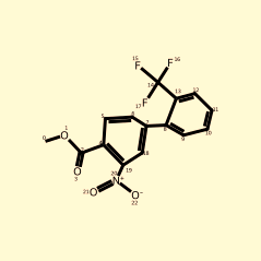 COC(=O)c1ccc(-c2ccccc2C(F)(F)F)cc1[N+](=O)[O-]